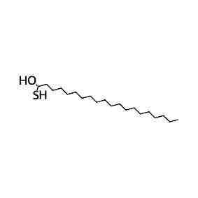 CCCCCCCCCCCCCCCCCCCC(O)S